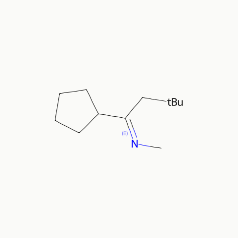 C/N=C(\CC(C)(C)C)C1CCCC1